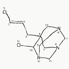 ClC=CCC12CN3CN(CN(C3)C1Cl)C2